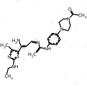 C=C(/N=C\C=C(/N)c1sc(NCC)nc1C)Nc1ccc(N2CCN(C(C)=O)CC2)cc1